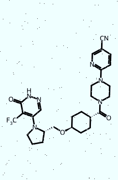 N#Cc1ccc(N2CCN(C(=O)[C@H]3CC[C@H](OC[C@@H]4CCCN4c4cn[nH]c(=O)c4C(F)(F)F)CC3)CC2)nc1